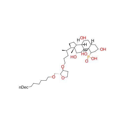 CCCCCCCCCCCCCCCCOC[C@H]1OCC[C@@H]1OCCC[C@@H](C)[C@H]1CC[C@H]2[C@@H]3[C@H](O)C[C@@H]4C[C@H](O)CC(P(=O)(O)O)[C@]4(C)[C@H]3C[C@H](O)[C@]12C